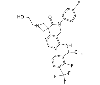 C[C@@H](Nc1ncnc2c1CN(c1ccc(F)cc1)C(=O)C21CN(CCO)C1)c1cccc(C(F)(F)F)c1F